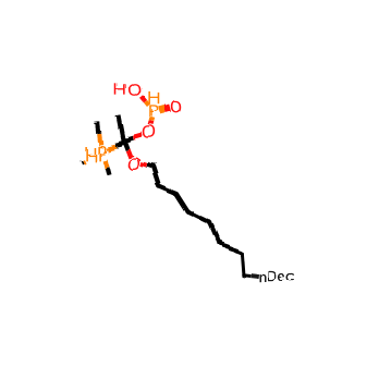 CCCCCCCCCCCCCCCCCCOC(C)(O[PH](=O)O)[PH](C)(C)C